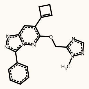 Cn1ncnc1COc1nn2c(-c3ccccc3)nnc2cc1C1=CCC1